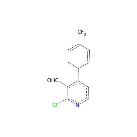 O=Cc1c(C2C=CC(C(F)(F)F)=CC2)ccnc1Cl